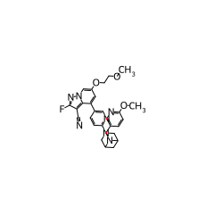 COCCOc1cc(-c2ccc(N3CC4CC(C3)N4Cc3ccc(OC)nc3)nc2)c2c(C#N)c(F)nn2c1